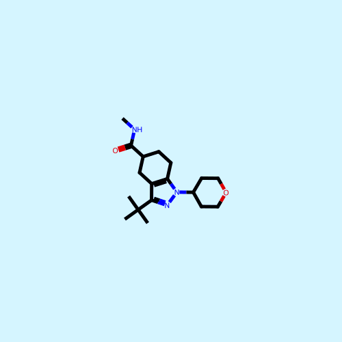 CNC(=O)C1CCc2c(c(C(C)(C)C)nn2C2CCOCC2)C1